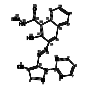 [C-]#[N+]c1cnn(-c2ncccn2)c1/N=N/c1cc2ccccc2c(C(=O)NCCCC)c1O